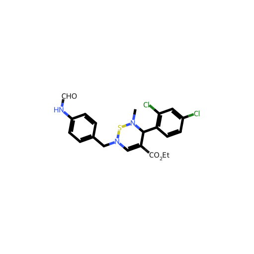 CCOC(=O)C1=CN(Cc2ccc(NC=O)cc2)SN(C)C1c1ccc(Cl)cc1Cl